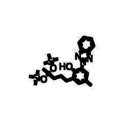 Cc1cc(CCCC(C)(O[Si](C)(C)C)O[Si](C)(C)C)c(O)c(-n2nc3ccccc3n2)c1